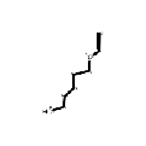 C=COCCCCCO